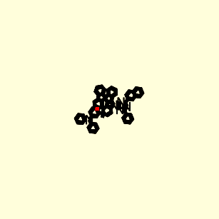 CC1(c2cccc(N(c3ccccc3)c3ccccc3)c2)C=Cc2c(c3c(n2-c2nc(-c4ccccc4)nc(-c4ccc5ccccc5c4)n2)-c2ccccc2C32c3ccccc3-c3ccccc32)C1